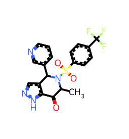 CC1C(=O)c2[nH]ncc2C(c2cccnc2)N1S(=O)(=O)c1ccc(C(F)(F)F)cc1